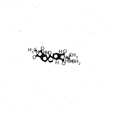 BBB(C)N1C(=O)C2[C@@H](C1=O)C1C[C@@H]2[C@]2(CC[C@]3(CC4C[C@@H]3[C@@H]3C(=O)N(C)C(=O)C43)C2=O)C1